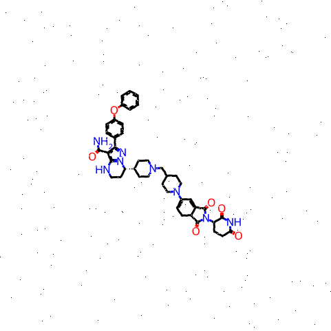 NC(=O)c1c(-c2ccc(Oc3ccccc3)cc2)nn2c1NCC[C@H]2C1CCN(CC2CCN(C3=CCC4C(=O)N(C5CCC(=O)NC5=O)C(=O)C4=C3)CC2)CC1